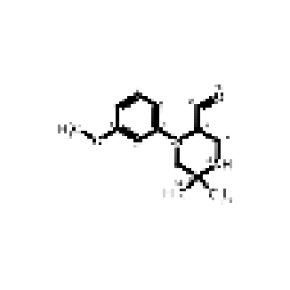 COc1cccc(N2CC(C)(C)NCC2C=O)c1